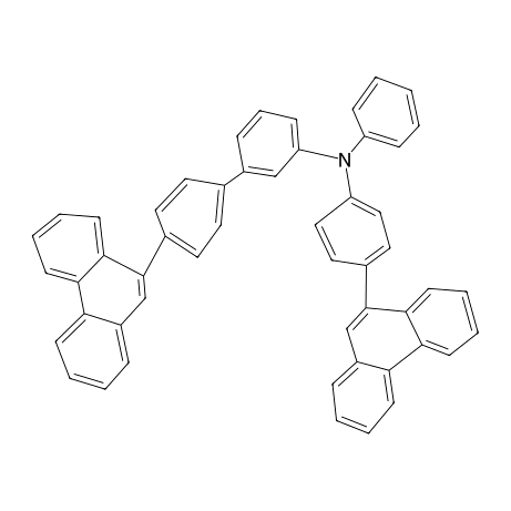 c1ccc(N(c2ccc(-c3cc4ccccc4c4ccccc34)cc2)c2cccc(-c3ccc(-c4cc5ccccc5c5ccccc45)cc3)c2)cc1